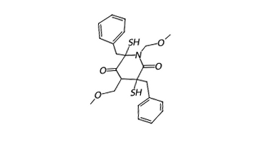 COCC1C(=O)C(S)(Cc2ccccc2)N(COC)C(=O)C1(S)Cc1ccccc1